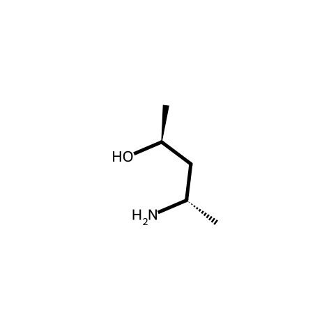 C[C@H](N)C[C@H](C)O